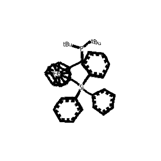 CC(C)(C)P(C[C]12[CH]3[CH]4[CH]5[C]1([Si](c1ccccc1)(c1ccccc1)c1ccccc1)[Fe]43521678[CH]2[CH]1[CH]6[CH]7[CH]28)C(C)(C)C